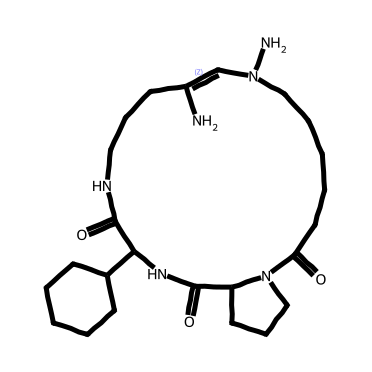 N/C1=C\N(N)CCCCCC(=O)N2CCCC2C(=O)NC(C2CCCCC2)C(=O)NCCC1